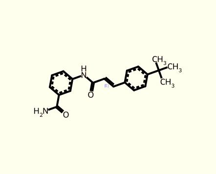 CC(C)(C)c1ccc(/C=C/C(=O)Nc2cccc(C(N)=O)c2)cc1